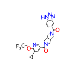 O=C(c1cnc(OCC(F)(F)F)c(C2CC2)c1)N1CC2CN(C(=O)c3ccc4[nH]nnc4c3)CC2C1